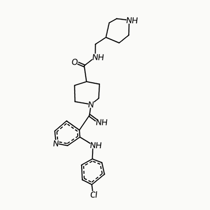 N=C(c1ccncc1Nc1ccc(Cl)cc1)N1CCC(C(=O)NCC2CCNCC2)CC1